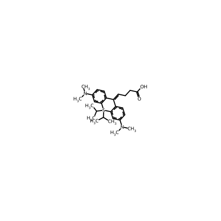 CC(C)S1(C(C)C)c2cc(N(C)C)ccc2C(=CCCC(=O)O)c2ccc(N(C)C)cc21